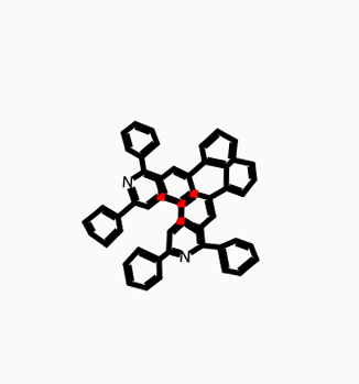 c1ccc(-c2cc(-c3cccc(-c4cccc5cccc(-c6cccc(-c7cc(-c8ccccc8)nc(-c8ccccc8)c7)c6)c45)c3)cc(-c3ccccc3)n2)cc1